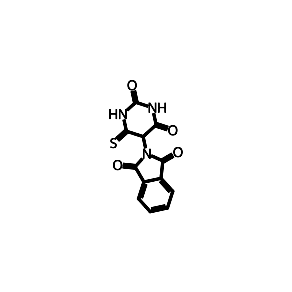 O=C1NC(=O)C(N2C(=O)c3ccccc3C2=O)C(=S)N1